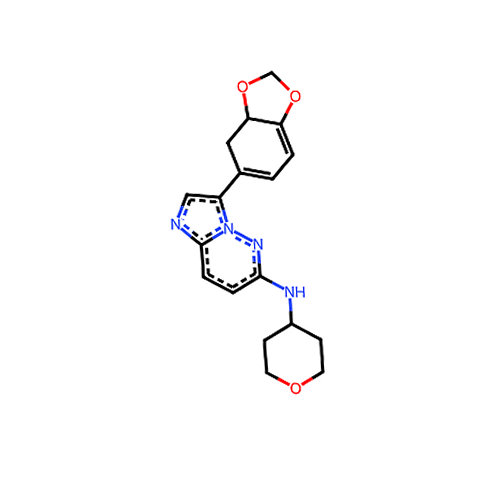 C1=C(c2cnc3ccc(NC4CCOCC4)nn23)CC2OCOC2=C1